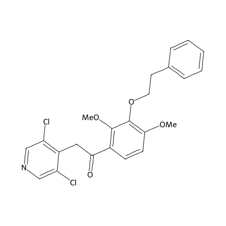 COc1ccc(C(=O)Cc2c(Cl)cncc2Cl)c(OC)c1OCCc1ccccc1